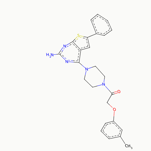 Cc1cccc(OCC(=O)N2CCN(c3nc(N)nc4sc(-c5ccccc5)cc34)CC2)c1